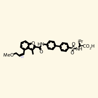 COC/C=C\c1cccc2oc(C(=O)Nc3ccc(-c4ccc(S(=O)(=O)N[C@H](C(=O)O)C(C)C)cc4)cc3)c(C)c12